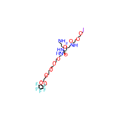 NCCCC(=O)N[C@@H](CCCCNC(=O)CCOCCOCI)C(=O)NCCOCCOCCOCCOCCC(=O)Oc1c(F)c(F)c(F)c(F)c1F